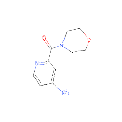 Nc1ccnc(C(=O)N2CCOCC2)c1